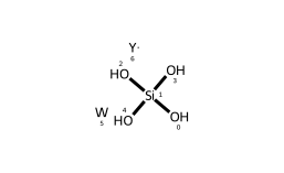 O[Si](O)(O)O.[W].[Y]